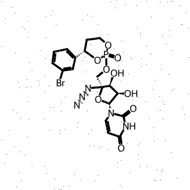 [N-]=[N+]=N[C@]1(COP2(=O)OCC[C@@H](c3cccc(Br)c3)O2)O[C@@H](n2ccc(=O)[nH]c2=O)[C@H](O)[C@@H]1O